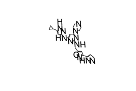 CN1CCN(c2cc(Nc3cc(C4CC4)[nH]n3)nc(NCc3cc(-c4ccn[nH]4)no3)n2)CC1